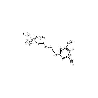 C[Si](C)(C)CCOCOc1cc(O)cc(Br)c1